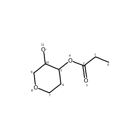 CCC(=O)OC1CCOCC1[O]